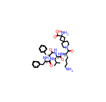 CC(C)C[C@@H](NC(=O)[C@@H](Cc1ccccc1)NC(=O)[C@H](N)Cc1ccccc1)C(=O)N[C@H](CCCCN)C(=O)N1CCC2(CC1)CC(N)(C(=O)O)C2